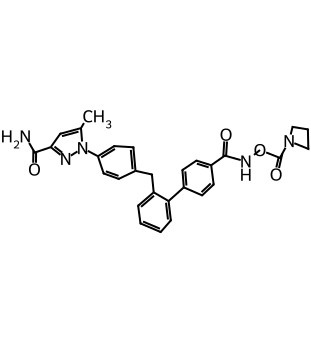 Cc1cc(C(N)=O)nn1-c1ccc(Cc2ccccc2-c2ccc(C(=O)NOC(=O)N3CCC3)cc2)cc1